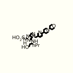 CCC[C@@H](CCO)Nc1nc(NC(=O)O)nc2cnn(Cc3ccc(C4CCN(C5CCOCC5)CC4)nc3)c12